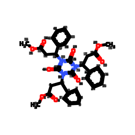 COC(=O)CC(c1ccccc1)n1c(=O)n(C(CC(=O)OC)c2ccccc2)c(=O)n(C(CC(=O)OC)c2ccccc2)c1=O